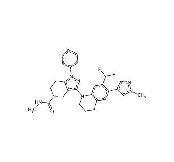 CNC(=O)N1CCc2c(c(N3CCCc4cc(-c5cnn(C)c5)c(C(F)F)cc43)nn2-c2ccncc2)C1